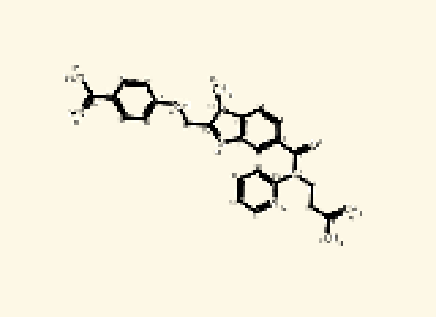 C=C(C)CCN(C(=O)c1ccc2c(c1)nc(CNc1ccc(C(=N)N)cc1)n2C)c1ccccn1